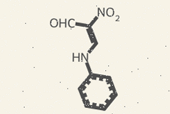 O=C/C(=C\Nc1ccccc1)[N+](=O)[O-]